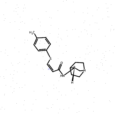 Cc1ccc(S/C=C\C(=O)N[C@H]2CN3CCC2CC3)cc1